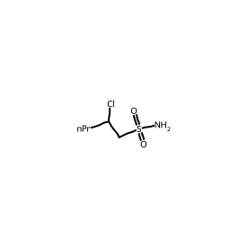 CCCC(Cl)CS(N)(=O)=O